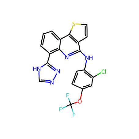 FC(F)(F)Oc1ccc(Nc2nc3c(-c4nnc[nH]4)cccc3c3sccc23)c(Cl)c1